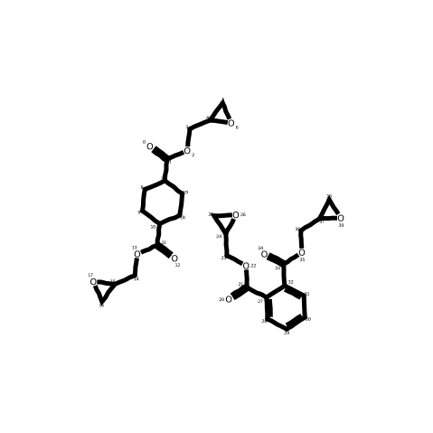 O=C(OCC1CO1)C1CCC(C(=O)OCC2CO2)CC1.O=C(OCC1CO1)c1ccccc1C(=O)OCC1CO1